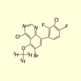 [2H]C([2H])([2H])Oc1c(Br)cc(-c2ccc(F)c(Cl)c2F)c2ncnc(Cl)c12